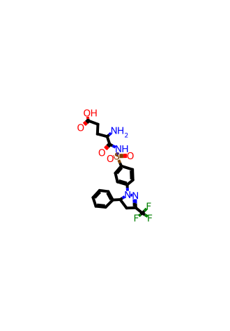 NC(CCC(=O)O)C(=O)NS(=O)(=O)c1ccc(N2N=C(C(F)(F)F)CC2c2ccccc2)cc1